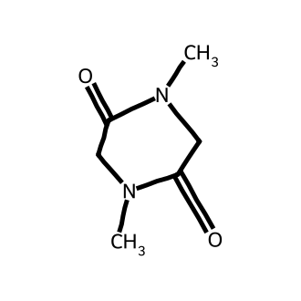 CN1CC(=O)N(C)CC1=O